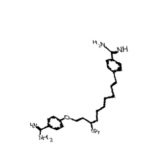 CCCC(CCCCCCCc1ccc(C(=N)N)cc1)CCOc1ccc(C(=N)N)cc1